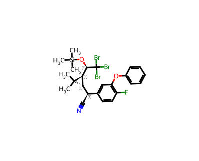 CC1(C)[C@@H]([C@H](C#N)c2ccc(F)c(Oc3ccccc3)c2)[C@@H]1[C@@H](O[Si](C)(C)C)C(Br)(Br)Br